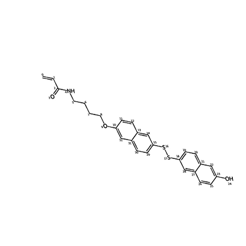 C=CC(=O)NCCCCOc1ccc2cc(SSc3ccc4cc(O)ccc4c3)ccc2c1